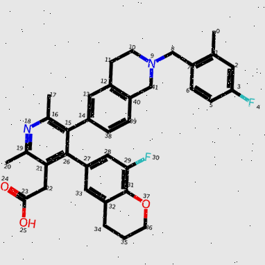 Cc1cc(F)ccc1CN1CCc2cc(-c3c(C)nc(C)c(CC(=O)O)c3-c3cc(F)c4c(c3)CCCO4)ccc2C1